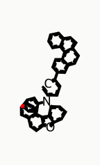 c1ccc(N(c2ccc(-c3ccc4c(ccc5ccc6ccccc6c54)c3)cc2)c2cccc3oc4ccc5ccccc5c4c23)cc1